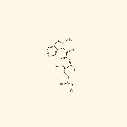 CCCCc1oc2ccccc2c1C(=O)c1cc(I)c(OCC(O)CCl)c(I)c1